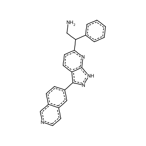 NCC(c1ccccc1)c1ccc2c(-c3ccc4cnccc4c3)n[nH]c2n1